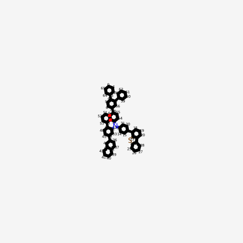 c1ccc(-c2ccc(-c3ccc(N(c4ccc(-c5cccc6c5sc5ccccc56)cc4)c4cc(-c5ccc6ccccc6c5)ccc4-c4ccccc4)cc3)cc2-c2ccccc2)cc1